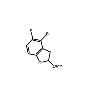 COC1Cc2c(ccc(F)c2Br)O1